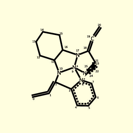 C=C=C1c2cccc[n+]2[N+]23N1C1CCCCC1N2C(=C=C)c1cccc[n+]13